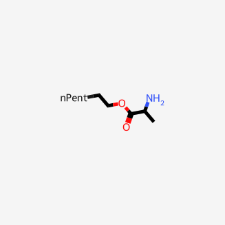 CCCCCCCOC(=O)C(C)N